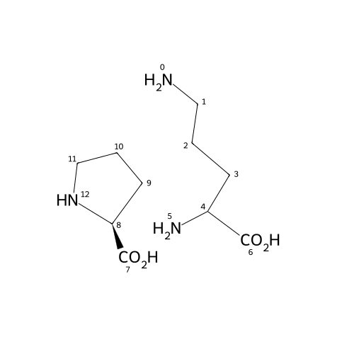 NCCCC(N)C(=O)O.O=C(O)[C@@H]1CCCN1